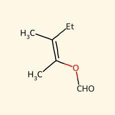 CCC(C)=C(C)OC=O